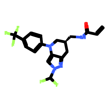 C=CC(=O)NC[C@@H]1Cc2nn(C(F)F)cc2N(c2ccc(C(F)(F)F)cc2)C1